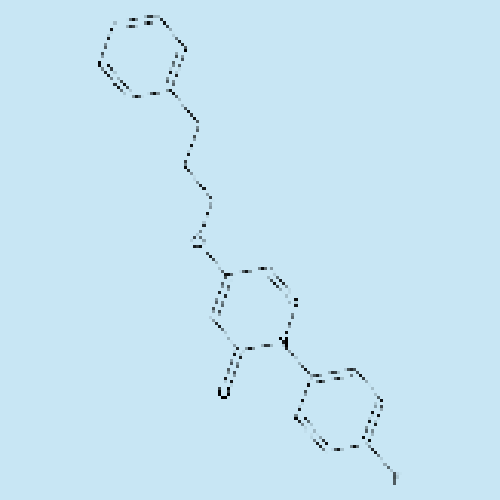 O=c1cc(OCCCc2ccccc2)ccn1-c1ccc(F)cc1